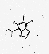 CC(C)c1c(F)c(Cl)c(Br)c2cn[nH]c12